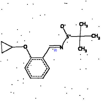 CC(C)(C)[S+]([O-])/N=C/c1ccccc1OC1CC1